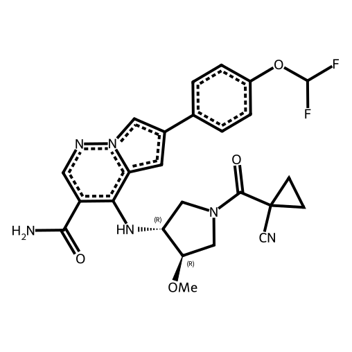 CO[C@@H]1CN(C(=O)C2(C#N)CC2)C[C@H]1Nc1c(C(N)=O)cnn2cc(-c3ccc(OC(F)F)cc3)cc12